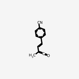 CC(=C=O)C=Cc1ccc(C#N)cc1